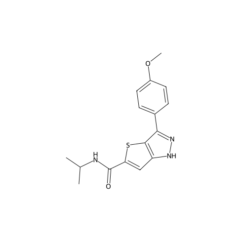 COc1ccc(-c2n[nH]c3cc(C(=O)NC(C)C)sc23)cc1